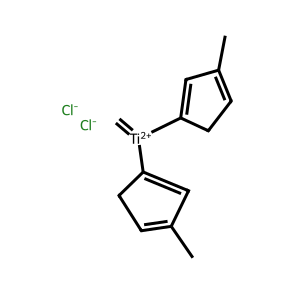 [CH2]=[Ti+2]([C]1=CC(C)=CC1)[C]1=CC(C)=CC1.[Cl-].[Cl-]